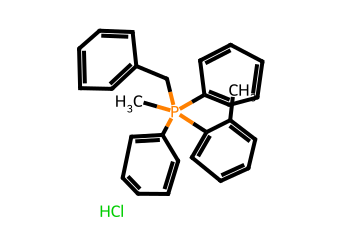 Cc1ccccc1P(C)(Cc1ccccc1)(c1ccccc1)c1ccccc1.Cl